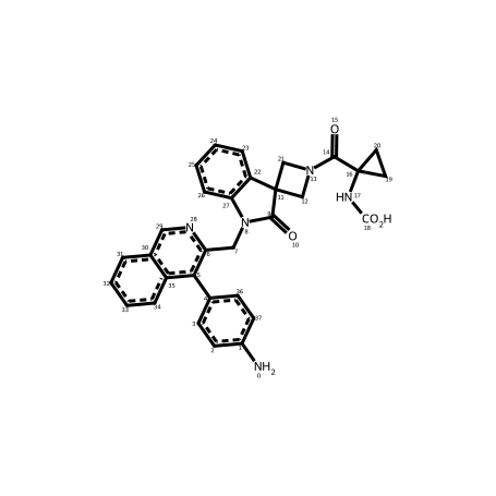 Nc1ccc(-c2c(CN3C(=O)C4(CN(C(=O)C5(NC(=O)O)CC5)C4)c4ccccc43)ncc3ccccc23)cc1